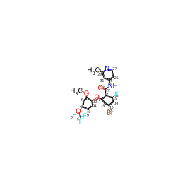 COc1cc(OC(F)(F)F)ccc1Oc1cc(Br)cc(F)c1C(=O)Nc1ccnc(C)c1